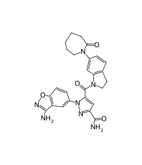 NC(=O)c1cc(C(=O)N2CCc3ccc(N4CCCCCC4=O)cc32)n(-c2ccc3onc(N)c3c2)n1